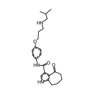 CC(C)CNCCCOc1ccc(NC(=O)c2c[nH]c3c2C(=O)CCCC3)cc1